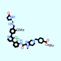 COc1cc(-c2nccc(-c3cccc(NC(=O)c4nc5c(n4C)CCN(CC4CCC(C(=O)OC(C)(C)C)CC4)C5)c3Cl)c2Cl)ccc1CNC[C@@H]1CCC(=O)N1